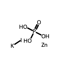 O=P(O)(O)O.[K][I].[Zn]